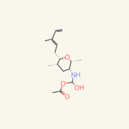 C=C/C(C)=C/C[C@@H]1O[C@H](C)[C@H](NC(O)OC(C)=O)C[C@@H]1C